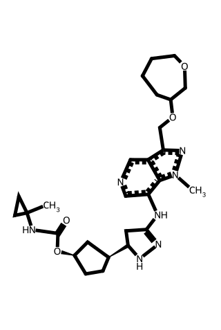 Cn1nc(COC2CCCCOC2)c2cncc(NC3=NNC([C@H]4CC[C@@H](OC(=O)NC5(C)CC5)C4)C3)c21